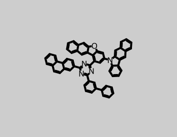 c1ccc(-c2cccc(-c3nc(-c4ccc5c(ccc6ccccc65)c4)nc(-c4cc(-n5c6ccccc6c6cc7ccccc7cc65)cc5oc6cc7ccccc7cc6c45)n3)c2)cc1